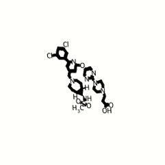 CS(=O)(=O)N[C@H]1[C@@H]2CCN(Cc3cc(Oc4cnc(N5CCN(CCC(=O)O)CC5)nc4)nc(-c4cc(Cl)cc(Cl)c4)c3)CC[C@@H]21